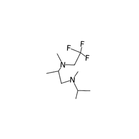 CC(C)N(C)CC(C)N(C)CC(F)(F)F